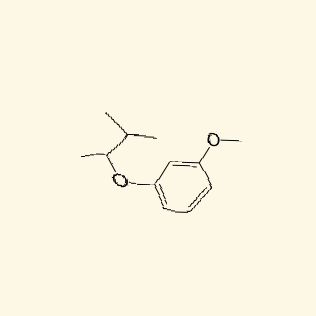 COc1cccc(OC(C)C(C)C)c1